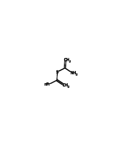 C=C(N)SC(=C)CCC